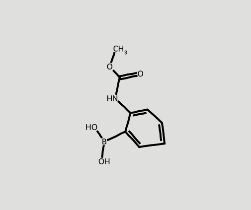 COC(=O)Nc1ccccc1B(O)O